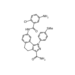 CSc1ccc(-n2nc(C(N)=O)c3c2-c2cc(NC(=O)c4cc(N)ccc4Cl)ccc2CC3)cc1